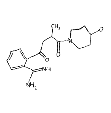 CC(CC(=O)c1ccccc1C(=N)N)C(=O)N1CCC([O])CC1